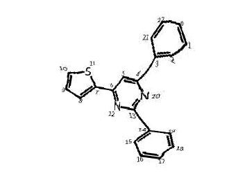 c1ccc(-c2cc(-c3cccs3)nc(-c3ccccc3)n2)cc1